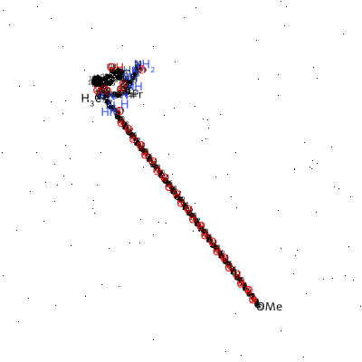 COCCOCCOCCOCCOCCOCCOCCOCCOCCOCCOCCOCCOCCOCCOCCOCCOCCOCCOCCOCCOCCOCCOCCOCCC(=O)NCCCC[C@@H](C(=O)NCCC(=O)N[C@H](C(=O)N[C@@H](CCCNC(N)=O)C(=O)Nc1ccc(CO)cc1)C(C)C)N(C)C(=O)OC1c2ccccc2-c2ccccc21